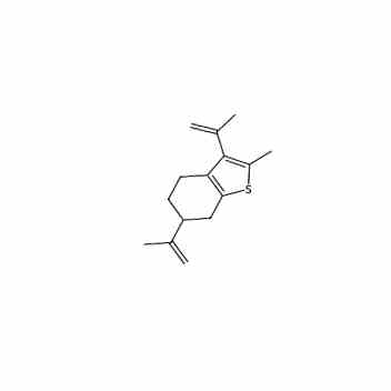 C=C(C)c1c(C)sc2c1CCC(C(=C)C)C2